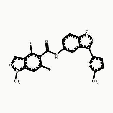 Cc1ccc(-c2n[nH]c3ccc(NC(=O)c4c(F)cc5c(cnn5C)c4F)cc23)s1